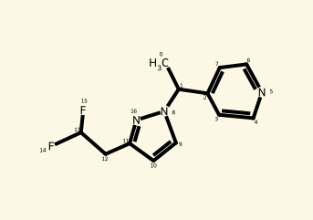 CC(c1ccncc1)n1ccc(CC(F)F)n1